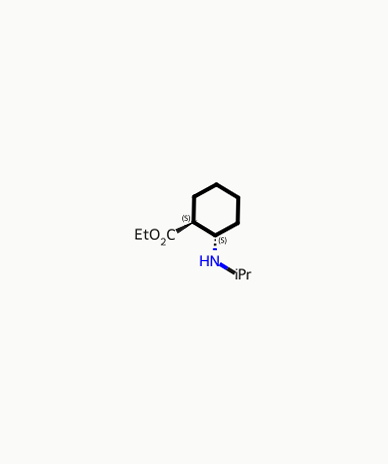 CCOC(=O)[C@H]1CCCC[C@@H]1NC(C)C